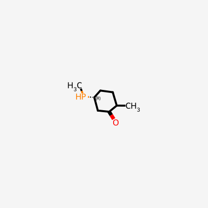 CP[C@@H]1CCC(C)C(=O)C1